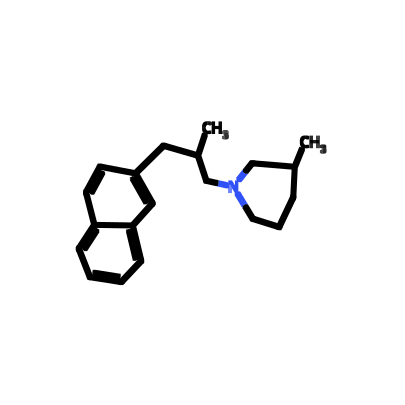 CC1CCCN(CC(C)Cc2ccc3ccccc3c2)C1